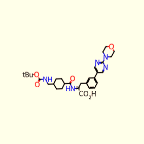 CC(C)(C)OC(=O)NCC1CCC(C(=O)N[C@@H](Cc2cccc(-c3cnc(N4CCOCC4)nc3)c2)C(=O)O)CC1